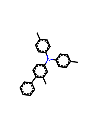 Cc1ccc(N(c2ccc(C)cc2)c2ccc(-c3ccccc3)c(C)c2)cc1